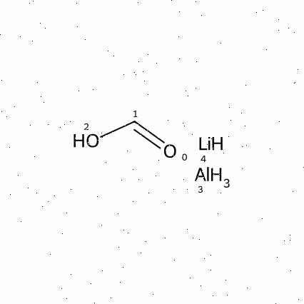 O=CO.[AlH3].[LiH]